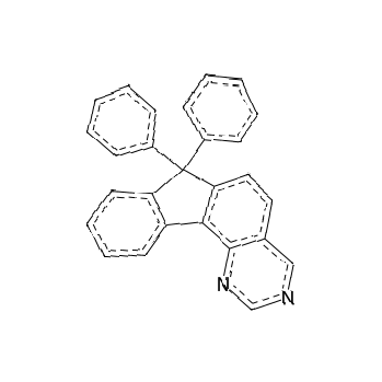 c1ccc(C2(c3ccccc3)c3ccccc3-c3c2ccc2cncnc32)cc1